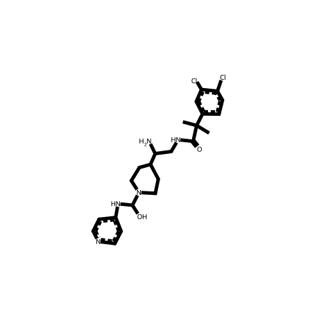 CC(C)(C(=O)NCC(N)C1CCN(C(O)Nc2ccncc2)CC1)c1ccc(Cl)c(Cl)c1